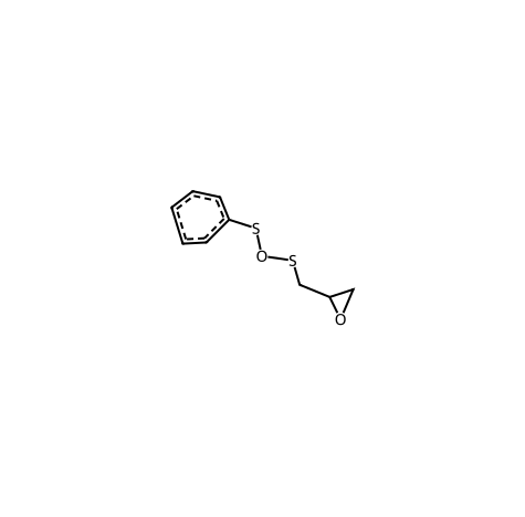 c1ccc(SOSCC2CO2)cc1